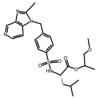 COCC(C)OC(=O)[C@H](CC(C)C)NS(=O)(=O)c1ccc(Cn2c(C)nc3cnccc32)cc1